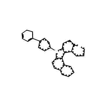 C1=CCCC(c2ccc(-n3c4ccc5ccccc5c4c4c5ccccc5ccc43)cc2)=C1